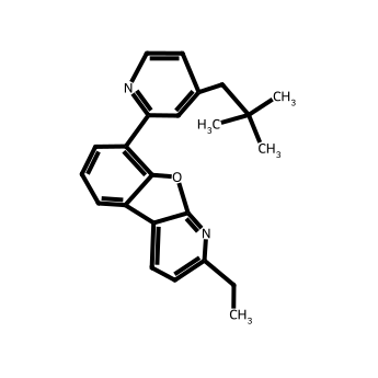 CCc1ccc2c(n1)oc1c(-c3cc(CC(C)(C)C)ccn3)cccc12